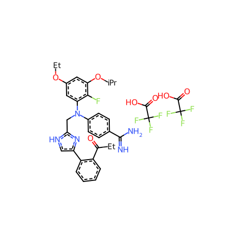 CCOc1cc(OC(C)C)c(F)c(N(Cc2nc(-c3ccccc3C(=O)CC)c[nH]2)c2ccc(C(=N)N)cc2)c1.O=C(O)C(F)(F)F.O=C(O)C(F)(F)F